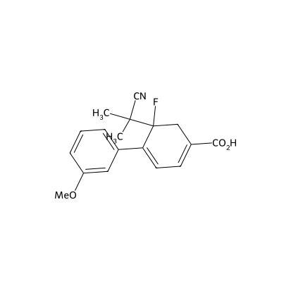 COc1cccc(C2=CC=C(C(=O)O)CC2(F)C(C)(C)C#N)c1